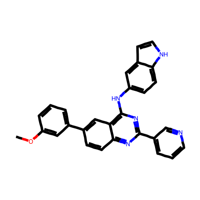 COc1cccc(-c2ccc3nc(-c4cccnc4)nc(Nc4ccc5[nH]ccc5c4)c3c2)c1